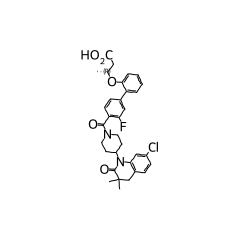 C[C@H](CC(=O)O)Oc1ccccc1-c1ccc(C(=O)N2CCC(N3C(=O)C(C)(C)Cc4ccc(Cl)cc43)CC2)c(F)c1